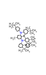 Cc1cc2c3c(c1)N(c1cccc4c1-c1ccccc1C4(C)C)c1cc4c(cc1B3c1cc(C(C)(C)C)ccc1N2c1ccc(C(C)(C)C)cc1)C(C)(C)CC4(C)C